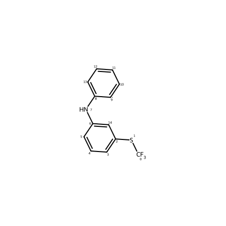 FC(F)(F)Sc1cccc(Nc2[c]cccc2)c1